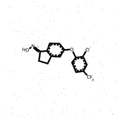 O/N=C1\CCc2cc(Oc3ccc(C(F)(F)F)cc3Cl)ccc21